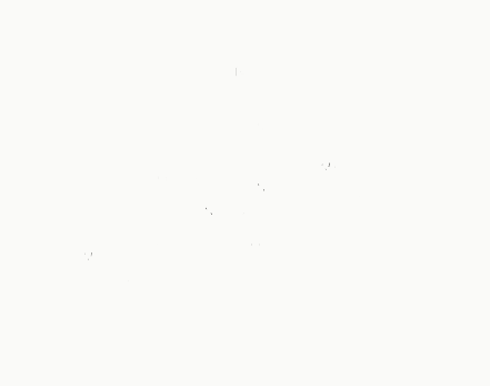 COC(=O)C1(C)CC(n2c(=O)c3c(C)c(Br)sc3n(CCc3ccccc3OC)c2=O)C1